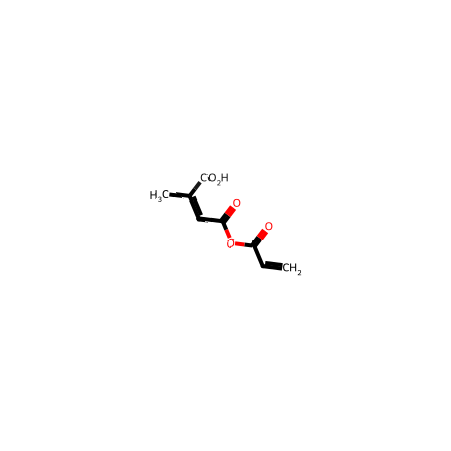 C=CC(=O)OC(=O)/C=C(/C)C(=O)O